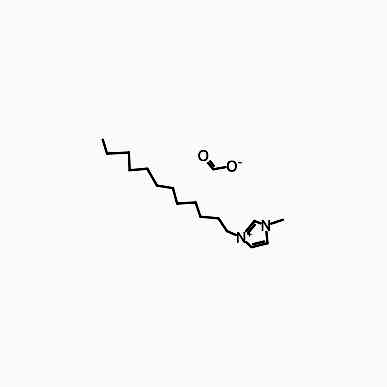 CCCCCCCCCCCC[n+]1ccn(C)c1.O=C[O-]